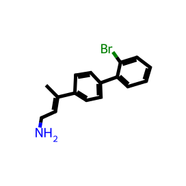 CC(=CCN)c1ccc(-c2ccccc2Br)cc1